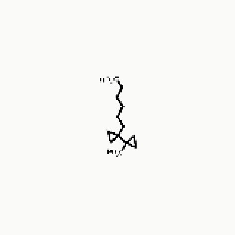 O=C(O)CCCCCC1(C2(C(=O)O)CC2)CC1